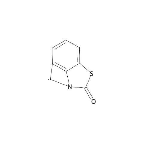 O=c1sc2cccc3c2n1[CH]3